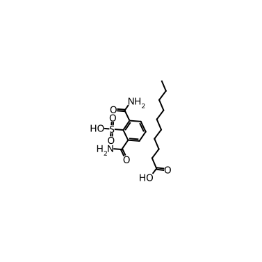 CCCCCCCCCC(=O)O.NC(=O)c1cccc(C(N)=O)c1S(=O)(=O)O